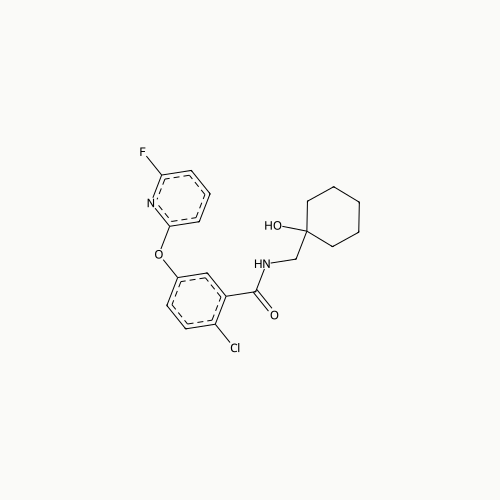 O=C(NCC1(O)CCCCC1)c1cc(Oc2cccc(F)n2)ccc1Cl